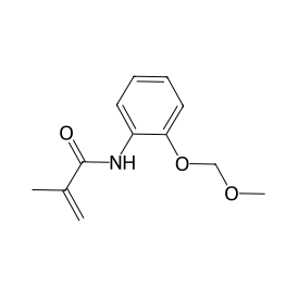 C=C(C)C(=O)Nc1ccccc1OCOC